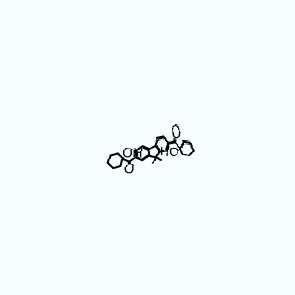 CC1(C)c2cc(C(=O)C3(O)CCCCC3)ccc2-c2ccc(C(=O)C3(O)CCCCC3)cc21